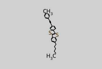 CCCCCCc1ccc2c(c1)sc1c3ccc(C#Cc4ccc(C)cc4)cc3sc21